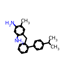 Cc1cc(Cc2ccccc2-c2ccc(C(C)C)cc2)c(N)cc1N